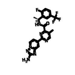 Cc1cnc(-c2ccn3nc(N)nc3c2)nc1C(=O)N[C@H](C)c1cc(C(F)(F)F)ccc1F